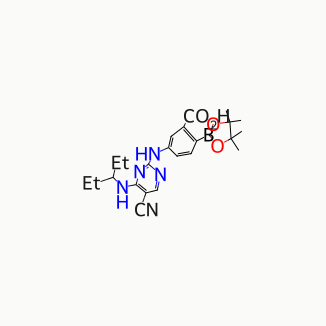 CCC(CC)Nc1nc(Nc2ccc(B3OC(C)(C)C(C)(C)O3)c(C(=O)O)c2)ncc1C#N